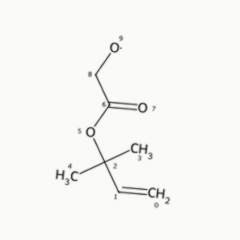 C=CC(C)(C)OC(=O)C[O]